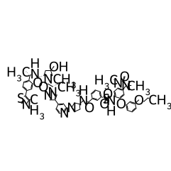 CCCOc1cccc(Oc2cc3c(cc2NS(=O)(=O)c2cccc(C(=O)N[C@H]4CCN(c5cc(-c6cnn([C@H](C(=O)N7C[C@H](O)C[C@H]7C(=O)N[C@@H](C)c7ccc(-c8scnc8C)cc7)C(C)C)c6)ccn5)C4)c2)n(C)c(=O)n3C)c1